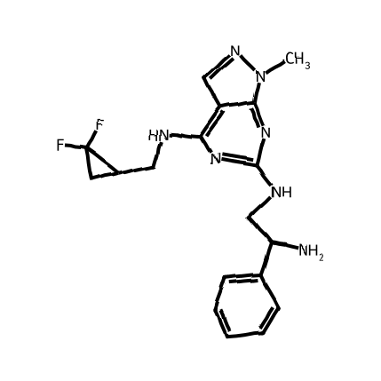 Cn1ncc2c(NCC3CC3(F)F)nc(NCC(N)c3ccccc3)nc21